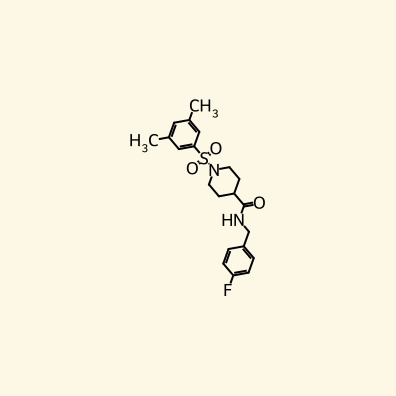 Cc1cc(C)cc(S(=O)(=O)N2CCC(C(=O)NCc3ccc(F)cc3)CC2)c1